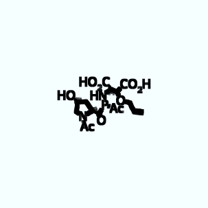 C=CCOC(C(=O)O)[C@H](NP(C(C)=O)C(=O)[C@@H]1C[C@@H](O)CN1C(C)=O)C(=O)O